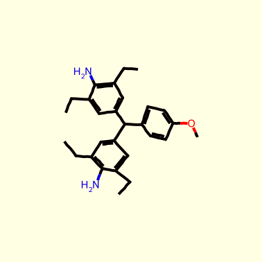 CCc1cc(C(c2ccc(OC)cc2)c2cc(CC)c(N)c(CC)c2)cc(CC)c1N